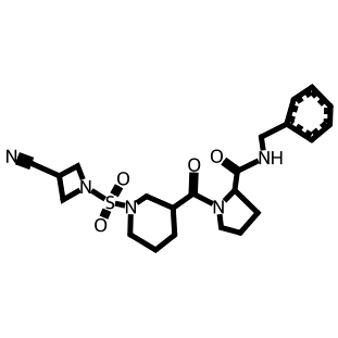 N#CC1CN(S(=O)(=O)N2CCCC(C(=O)N3CCCC3C(=O)NCc3ccccc3)C2)C1